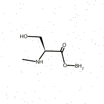 BOC(=O)[C@H](CO)NC